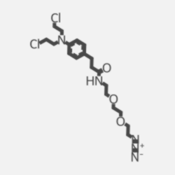 [N-]=[N+]=NCCOCCOCCNC(=O)CCc1ccc(N(CCCl)CCCl)cc1